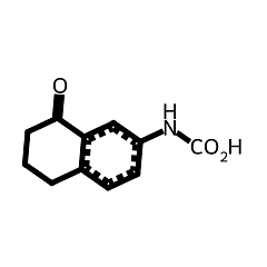 O=C(O)Nc1ccc2c(c1)C(=O)CCC2